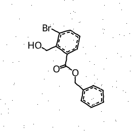 O=C(OCc1ccccc1)c1cccc(Br)c1CO